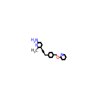 Cc1nc(N)ccc1C#CCc1ccc(COc2ccccn2)cc1